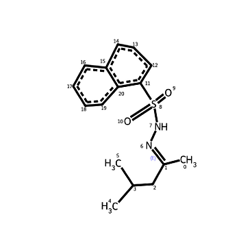 C/C(CC(C)C)=N\NS(=O)(=O)c1cccc2ccccc12